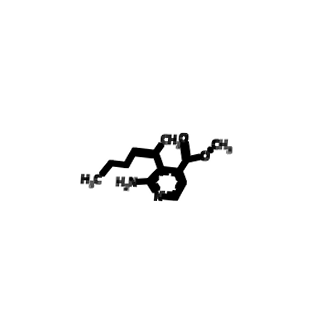 CCC/C=C(/C)c1c(C(=O)OC)ccnc1N